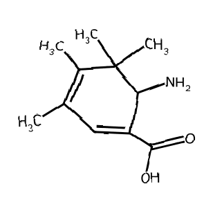 CC1=C(C)C(C)(C)C(N)C(C(=O)O)=C1